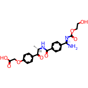 C[C@H](NC(=O)c1ccc(/C(N)=N/C(=O)OCCO)cc1)C(=O)c1ccc(OCC(=O)O)cc1